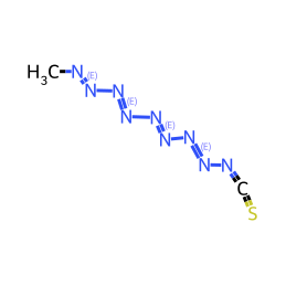 C/N=N/N=N/N=N/N=N/N=C=S